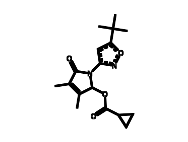 CC1=C(C)C(OC(=O)C2CC2)N(c2cc(C(C)(C)C)on2)C1=O